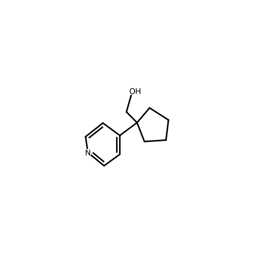 OCC1(c2ccncc2)CCCC1